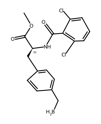 BCc1ccc(C[C@H](NC(=O)c2c(Cl)cccc2Cl)C(=O)OC)cc1